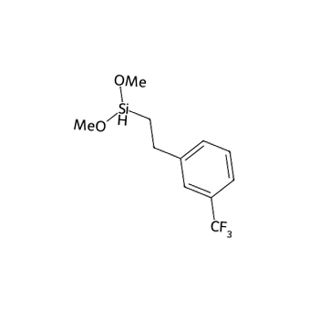 CO[SiH](CCc1cccc(C(F)(F)F)c1)OC